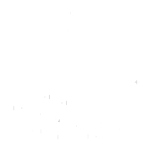 CC(C)(C)[Si](C)(C)OC[C@]1(C)C(=O)CCC1C1CCC2=CC3(CCC2=C1CO)OCCO3